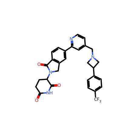 O=C1CCC(N2Cc3cc(-c4cc(CN5CC(c6ccc(C(F)(F)F)cc6)C5)ccn4)ccc3C2=O)C(=O)N1